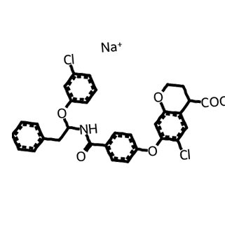 O=C(NC(Cc1ccccc1)Oc1cccc(Cl)c1)c1ccc(Oc2cc3c(cc2Cl)C(C(=O)[O-])CCO3)cc1.[Na+]